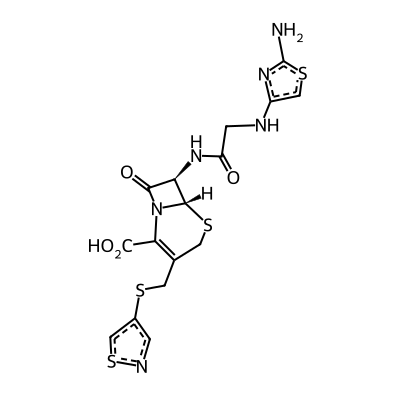 Nc1nc(NCC(=O)N[C@@H]2C(=O)N3C(C(=O)O)=C(CSc4cnsc4)CS[C@@H]23)cs1